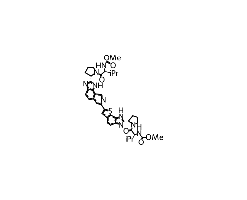 COC(=O)N[C@H](C(=O)N1CCC[C@H]1c1nc2ccc3cc(-c4cc5ccc6nc([C@@H]7CCCN7C(=O)[C@@H](NC(=O)OC)C(C)C)[nH]c6c5s4)ncc3c2[nH]1)C(C)C